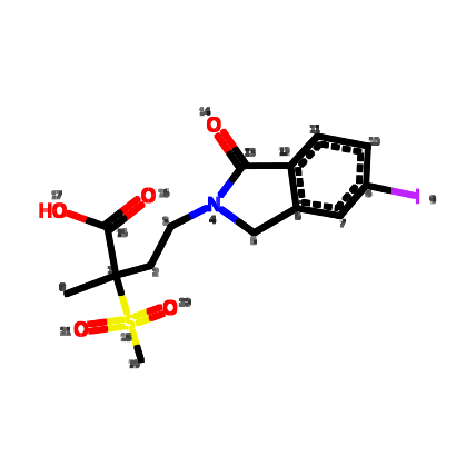 CC(CCN1Cc2cc(I)ccc2C1=O)(C(=O)O)S(C)(=O)=O